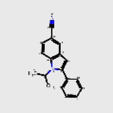 CC(C)n1c(-c2ccccc2)cc2cc(C#N)ccc21